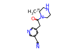 C[C@@H]1CNCCN1C(=O)Cc1cncc(C#N)c1